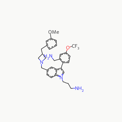 COc1cccc(CC2CN(Cc3ccc4c(c3)c(-c3ccc(OC(F)(F)F)cc3CN)cn4CCCN)C2)c1